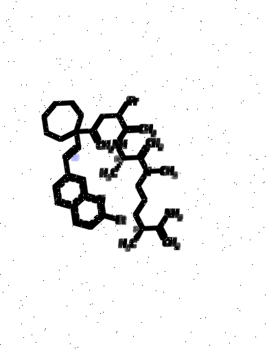 C=C(N[C@@H](C)C(=C)N(C)CCC[C@H](C)C(=C)N)C(CC(=C)C1(/C=C/c2ccc3ccc(CC)nc3c2)CCCCCC1)C(C)C